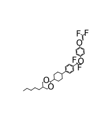 CCCCCC1COC(C2CCC(c3ccc(C(F)(F)Oc4ccc(OC=C(F)F)cc4)cc3)CC2)OC1